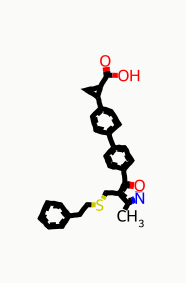 Cc1noc(-c2ccc(-c3ccc(C4CC4C(=O)O)cc3)cc2)c1CSCCc1ccccc1